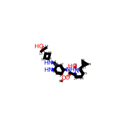 COC1=CC(=N)/C(=C\N[C@H]2C[C@@H](C(C)(C)O)C2)C=C1NC(=O)c1cccc(C2CC2)[n+]1O